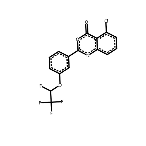 O=c1oc(-c2cccc(OC(F)C(F)(F)F)c2)nc2cccc(Cl)c12